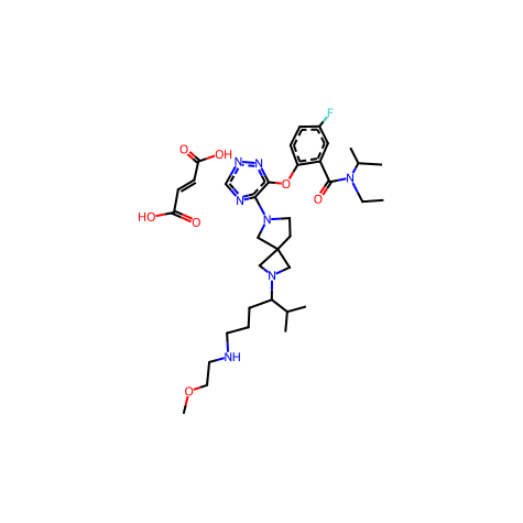 CCN(C(=O)c1cc(F)ccc1Oc1nncnc1N1CCC2(C1)CN(C(CCCNCCOC)C(C)C)C2)C(C)C.O=C(O)/C=C/C(=O)O